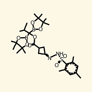 Cc1cc(C)c(S(=O)(=O)NN=C2CC(C(=O)OC(B3OC(C)(C)C(C)(C)O3)(B3OC(C)(C)C(C)(C)O3)C(C)C)C2)c(C)c1